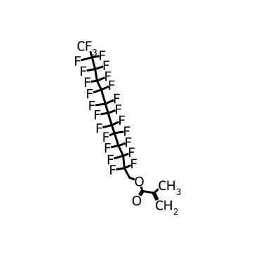 C=C(C)C(=O)OCC(F)(F)C(F)(F)C(F)(F)C(F)(F)C(F)(F)C(F)(F)C(F)(F)C(F)(F)C(F)(F)C(F)(F)C(F)(F)C(F)(F)F